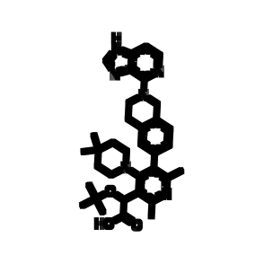 Cc1nc(C)c(C(OC(C)(C)C)C(=O)O)c(N2CCC(C)(C)CC2)c1-c1ccc2c(c1)CCN(c1nccc3[nH]cnc13)C2